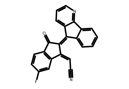 N#C/C=C1/C(=C2\c3ccccc3-c3ncccc32)C(=O)c2ccc(F)cc21